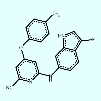 N#Cc1cc(Oc2ccc(C(F)(F)F)cc2)cc(Nc2ccc3c(F)c[nH]c3c2)n1